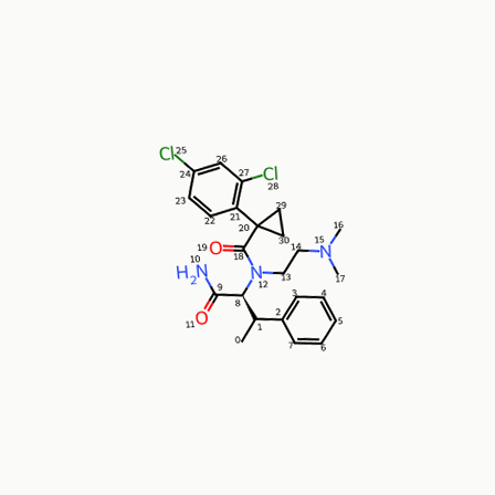 CC(c1ccccc1)[C@@H](C(N)=O)N(CCN(C)C)C(=O)C1(c2ccc(Cl)cc2Cl)CC1